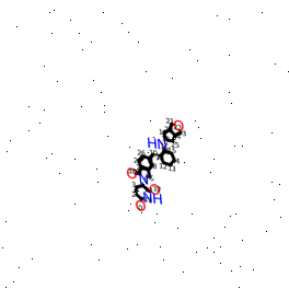 O=C1CCC(N2Cc3cc(C[C@H]4CCCC[C@@H]4NC4CC5COCC5C4)ccc3C2=O)C(=O)N1